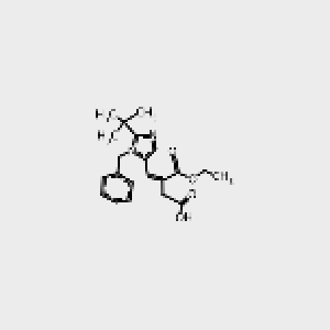 CCOC(=O)C(=Cc1cnc(C(C)(C)C)n1Cc1ccccc1)CC(=O)O